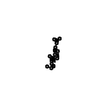 c1ccc(-c2nc(-c3ccc4c(c3)oc3cccc(-c5ccccc5)c34)nc(-c3cccc4sc5c(-c6cccc7c6oc6ccc(-c8ccc9c(c8)c8ccccc8n9-c8ccccc8)cc67)cccc5c34)n2)cc1